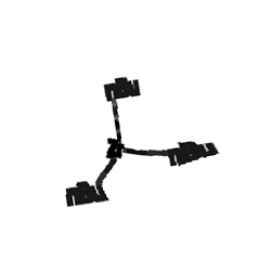 CCC[CH2][Zr]([CH2]CCC)[CH2]CCC